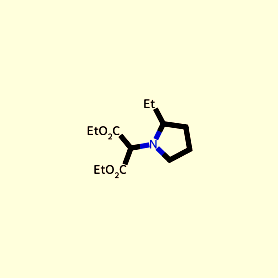 CCOC(=O)C(C(=O)OCC)N1CCCC1CC